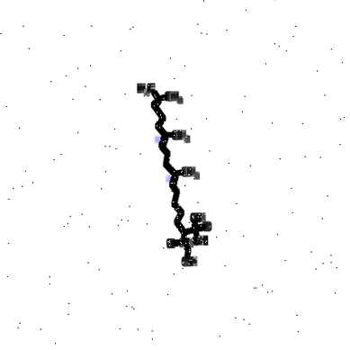 CC(C)=CCC/C(C)=C/CC/C(C)=C/CCCCC([PH](=O)CO)P(=O)(O)O